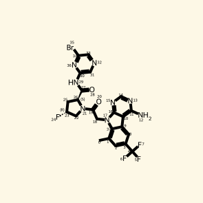 Cc1cc(C(F)(F)F)cc2c3c(N)ncnc3n(CC(=O)N3C[C@H](F)C[C@H]3C(=O)Nc3cncc(Br)n3)c12